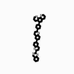 c1ccc2nc(-c3ccc4cc(-c5ccc6nc(-c7ccc(-c8cc9cccnc9c9ncccc89)cc7)ccc6c5)ccc4n3)ncc2c1